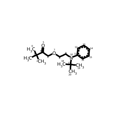 CC(C)(C)C(=O)COCCN(c1ccccc1)C(C)(C)C